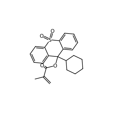 C=C(C)C(=O)OC1(C2CCCCC2)c2ccccc2S(=O)(=O)c2ccccc21